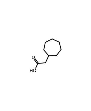 O=C(O)CC1CCCCCC1